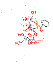 O=P1(c2ccccc2)O[C@H]([C@H](O)CO)[C@H](O)[C@H](O)[C@@H]1OC1O[C@@H]([C@@H](O)CO)[C@@H](O)[C@H]1O